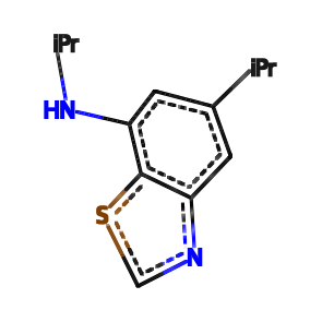 CC(C)Nc1cc(C(C)C)cc2ncsc12